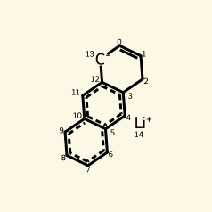 C1=CCc2cc3ccccc3cc2[CH-]1.[Li+]